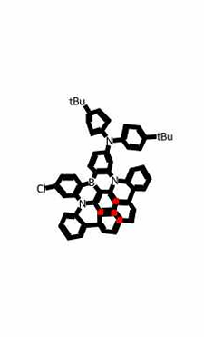 CC(C)(C)c1ccc(N(c2ccc(C(C)(C)C)cc2)c2ccc3c(c2)N(c2ccccc2-c2ccccc2)c2cccc4c2B3c2ccc(Cl)cc2N4c2ccccc2-c2ccccc2)cc1